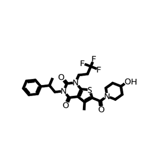 Cc1c(C(=O)N2CCC(O)CC2)sc2c1c(=O)n(CC(C)c1ccccc1)c(=O)n2CCC(F)(F)F